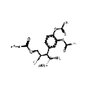 CCCCCC(=O)OCC(C)C(c1ccc(OC(=O)CCC)c(OC(=O)CCC)c1)[C@H](N)C(=O)O